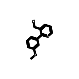 COc1cccc(-c2ncccc2CCl)c1